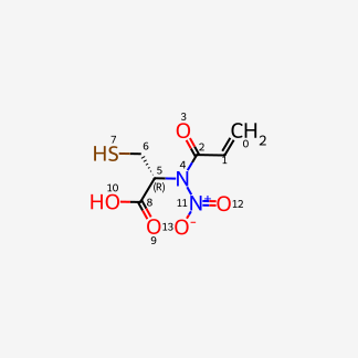 C=CC(=O)N([C@@H](CS)C(=O)O)[N+](=O)[O-]